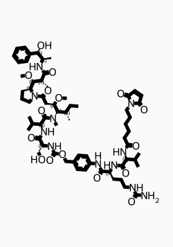 CC[C@H](C)[C@@H]([C@@H](CC(=O)N1CCC[C@H]1[C@H](OC)[C@@H](C)C(=O)N[C@H](C)[C@@H](O)c1ccccc1)OC)N(C)C(=O)[C@@H](NC(=O)[C@@H](CO)NC(=O)OCc1ccc(NC(=O)[C@H](CCCNC(N)=O)NC(=O)[C@@H](NC(=O)CCCCCN2C(=O)C=CC2=O)C(C)C)cc1)C(C)C